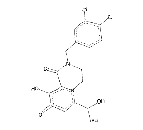 CC(C)(C)C(O)c1cc(=O)c(O)c2n1CCN(Cc1ccc(Cl)c(Cl)c1)C2=O